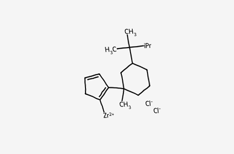 CC(C)C(C)(C)C1CCCC(C)(C2=[C]([Zr+2])CC=C2)C1.[Cl-].[Cl-]